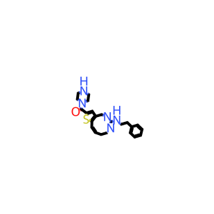 O=C(c1cc2c(s1)/C=C\C/C=N\C(NCCc1ccccc1)=N/C2)N1CCNCC1